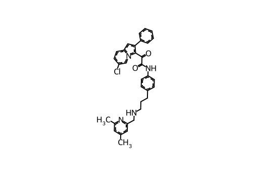 Cc1cc(C)nc(CNCCCc2ccc(NC(=O)C(=O)c3c(-c4ccccc4)cc4ccc(Cl)cn34)cc2)c1